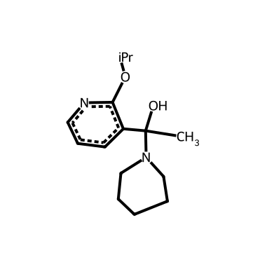 CC(C)Oc1ncccc1C(C)(O)N1CCCCC1